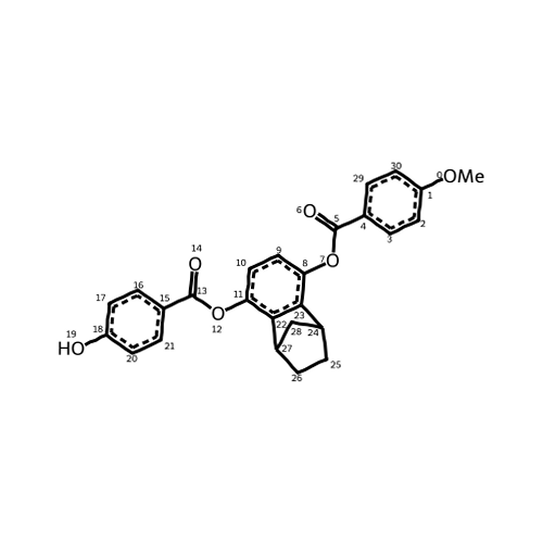 COc1ccc(C(=O)Oc2ccc(OC(=O)c3ccc(O)cc3)c3c2C2CCC3C2)cc1